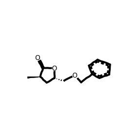 C[C@@H]1C[C@@H](COCc2ccccc2)OC1=O